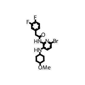 COC1CCC(Nc2ccc(Br)nc2NC(=O)Cc2ccc(F)c(F)c2)CC1